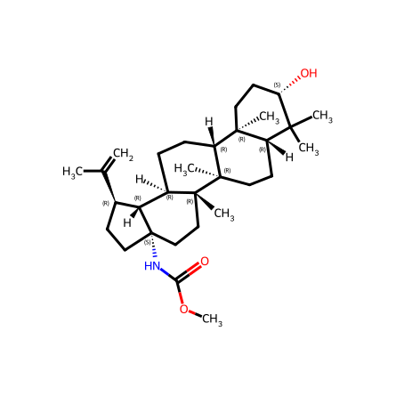 C=C(C)[C@@H]1CC[C@]2(NC(=O)OC)CC[C@]3(C)[C@H](CC[C@@H]4[C@@]5(C)CC[C@H](O)C(C)(C)[C@@H]5CC[C@]43C)[C@@H]12